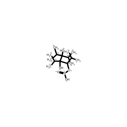 CC(C)C([O][Ti](=[O])[OH])C(O)(C(C)C)C(O)(C(C)C)C(C)C